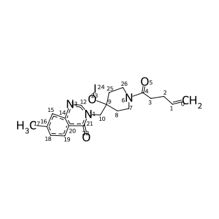 C=CCCC(=O)N1CCC(Cn2cnc3cc(C)ccc3c2=O)(OI)CC1